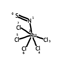 S=[N][Ru]([Cl])([Cl])([Cl])([Cl])[Cl]